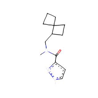 CN([CH]C1CCC12CCC2)C(=O)c1cc[nH]n1